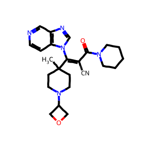 CC1(C(=C(C#N)C(=O)N2CCCCC2)n2cnc3cnccc32)CCN(C2COC2)CC1